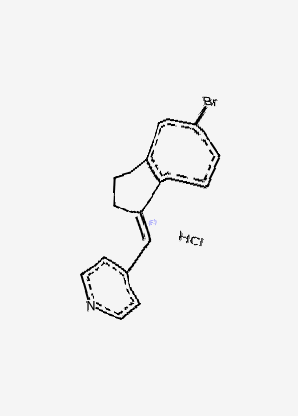 Brc1ccc2c(c1)CC/C2=C\c1ccncc1.Cl